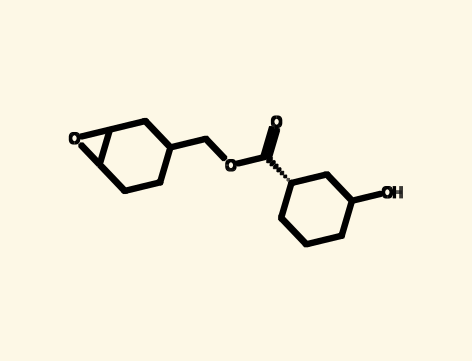 O=C(OCC1CCC2OC2C1)[C@H]1CCCC(O)C1